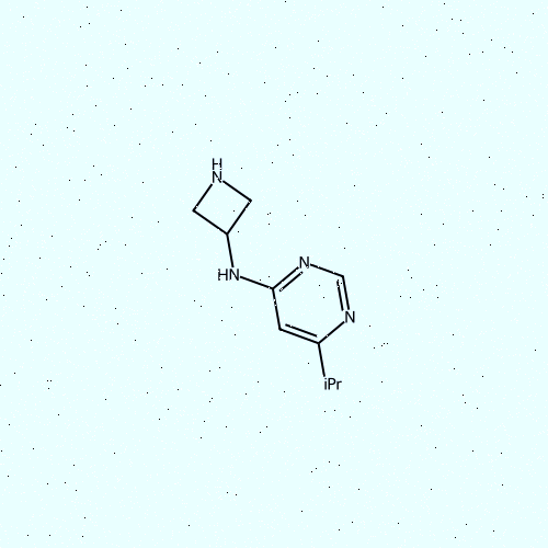 CC(C)c1cc(NC2CNC2)ncn1